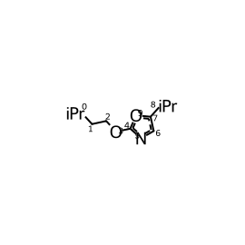 CC(C)CCOc1ncc(C(C)C)o1